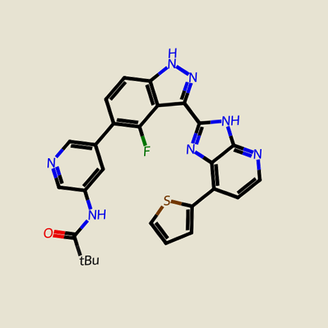 CC(C)(C)C(=O)Nc1cncc(-c2ccc3[nH]nc(-c4nc5c(-c6cccs6)ccnc5[nH]4)c3c2F)c1